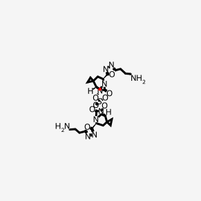 NCCCc1nnc([C@@H]2CC3(CC3)[C@@H]3CN2C(=O)N3OS(=O)(=O)ON2C(=O)N3C[C@H]2C2(CC2)C[C@H]3c2nnc(CCCN)o2)o1